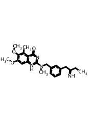 CCC(=N)Cc1cccc(CN(C)c2nc(=O)c3c(C)c(OC)c(OC)cc3[nH]2)c1